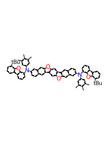 Cc1cc(N(c2ccc3cc4c(cc3c2)oc2cc3c(cc24)oc2cc4cc(N(c5cc(C)c(C)c(C)c5)c5cccc6c5oc5c(C(C)(C)C)cccc56)ccc4cc23)c2cccc3c2oc2c(C(C)(C)C)cccc23)cc(C)c1C